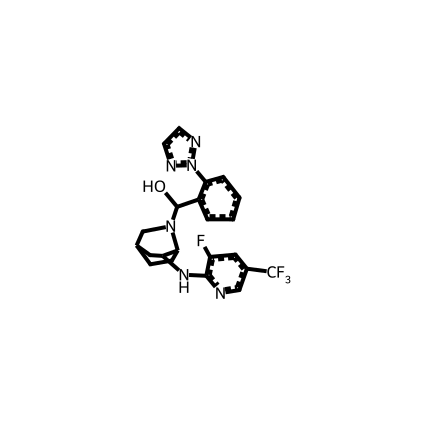 OC(c1ccccc1-n1nccn1)N1CC2CCC1C(Nc1ncc(C(F)(F)F)cc1F)C2